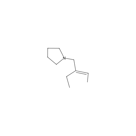 C/C=C(\CC)CN1CCCC1